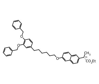 CCOC(=O)[C@@H](C)c1ccc2cc(OCCCCCCc3ccc(OCc4ccccc4)c(OCc4ccccc4)c3)ccc2c1